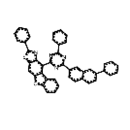 c1ccc(-c2ccc3ccc(-c4nc(-c5ccccc5)nc(-c5c6nc(-c7ccccc7)sc6cc6oc7ccccc7c56)n4)cc3c2)cc1